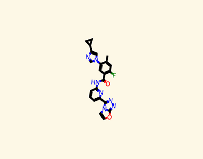 Cc1cc(F)c(C(=O)Nc2cccc(-c3nnc4occn34)n2)cc1-n1cnc(C2CC2)c1